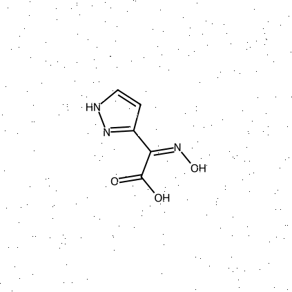 O=C(O)/C(=N\O)c1cc[nH]n1